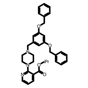 CC(C)OC(=O)c1cccnc1N1CCN(Cc2cc(OCc3ccccc3)cc(OCc3ccccc3)c2)CC1